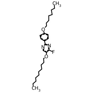 CCCCCCCCCCOc1cnc(-c2ccc(OCCCCCCCC)cc2)nc1F